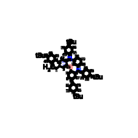 C=CC/C=C1/B2c3ccc(-c4ccc(C(C)(C)C)cc4)cc3N(c3ccc(C(C)(C)C)cc3)c3cccc(c32)N(c2ccc(C(C)(C)C)cc2)/C1=C/Cc1ccc(C(C)(C)C)cc1